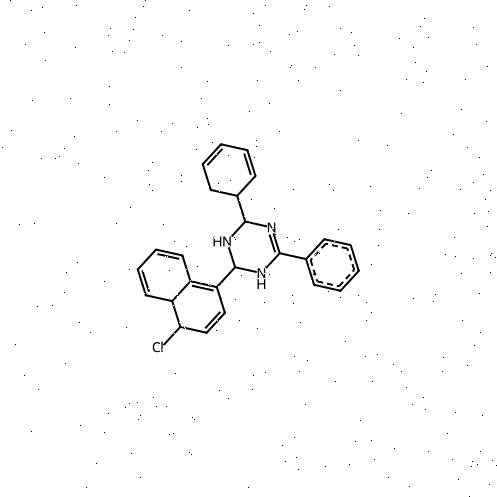 ClC1C=CC(C2NC(c3ccccc3)=NC(C3C=CC=CC3)N2)=C2C=CC=CC21